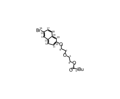 CCC(C)C(=O)OCCOCCOc1ccc2cc(Br)ccc2c1